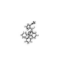 CC(=NO[Si](c1ccccc1)(c1ccccc1)c1ccccc1)c1sccc1C#N